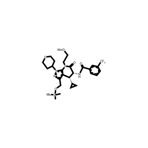 COCCN1C(=O)[C@H](NC(=O)c2cccc(C(F)(F)F)c2)[C@H](C2CC2)c2c(CO[Si](C)(C)C(C)(C)C)nn(C3CCOCC3)c21